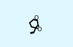 C=CC12CCC3OC3C1O2